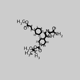 COC(=O)CC[C@H]1CC[C@H](c2nc(C(N)=O)[nH]c2C2CCN(C(=O)OC(C)(C)C)CC2)CC1